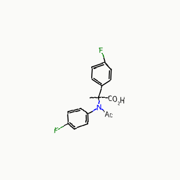 CC(=O)N(c1ccc(F)cc1)C(C)(C(=O)O)c1ccc(F)cc1